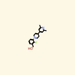 Cc1cc(C2=CCN(c3cccc(CO)c3F)CC2)cc(C)n1